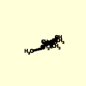 C=C(C)C(=O)OC(CCOC(=O)C(=C)CO)Cc1ccc(-c2ccc(CCCCCCCC)cc2)c(CC)c1